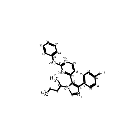 CC(CCO)n1cnc(-c2ccc(F)cc2)c1-c1ccnc(Oc2ccccc2)n1